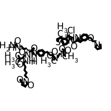 Cc1csc2c(OC(=O)N(C)CCN(C)C(=O)OCc3ccc(NC(=O)[C@H](CCCNC(N)=O)NC(=O)C(NC(=O)CCCCCN4C(=O)C=CC4=O)C(C)C)cc3)cc3c(c12)[C@@H](CCl)CN3C(=O)c1cc2cc(OCCN3CCCC3)ccc2[nH]1